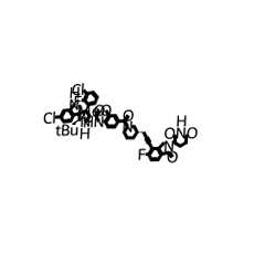 COc1cc(C(=O)N2CCC[C@@H](CC#Cc3c(F)ccc4c3CN(C3CCC(=O)NC3=O)C4=O)C2)ccc1NC(=O)[C@@H]1N[C@@H](CC(C)(C)C)[C@@]2(CNc3cc(Cl)ccc32)[C@H]1c1cccc(Cl)c1F